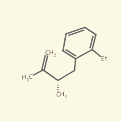 C=C(C)[C@@H](C)Cc1ccccc1CC